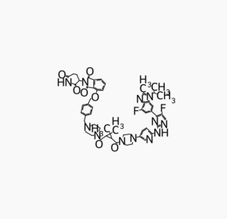 Cc1nc2c(F)cc(-c3nc(Nc4ccc(N5CCN(C(=O)C6C(C(=O)N7CCN(Cc8ccc(COc9cccc%10c9C(=O)N(C9CCC(=O)NC9=O)C%10=O)cc8)CC7)C6(C)C)CC5)cn4)ncc3F)cc2n1C(C)C